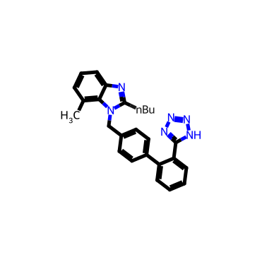 CCCCc1nc2cccc(C)c2n1Cc1ccc(-c2ccccc2-c2nnn[nH]2)cc1